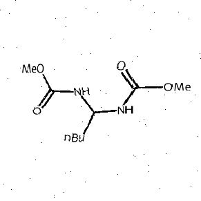 CCCCC(NC(=O)OC)NC(=O)OC